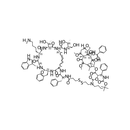 CCCCN(CCSSCCC(=O)N[C@H](Cc1ccccc1)C(=O)N[C@H]1CSSC[C@@H](C(=O)N[C@H](CO)[C@@H](C)O)NC(=O)[C@H]([C@@H](C)O)NC(=O)[C@H](CCCCN)NC(=O)[C@@H](Cc2c[nH]c3ccccc23)NC(=O)[C@H](Cc2ccccc2)NC1=O)C(=O)OC(C(=O)OC1C[C@@]2(O)[C@@H](OC(=O)c3ccccc3)[C@@H]3[C@]4(O)CO[C@@H]4C[C@H](OC)[C@@]3(C)C(=O)[C@H](OC)C(=C1C)C2(C)C)[C@@H](NC(=O)OC(C)(C)C)c1ccccc1